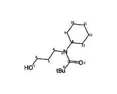 CC(C)(C)C(=O)N(CCCO)C1CCCCC1